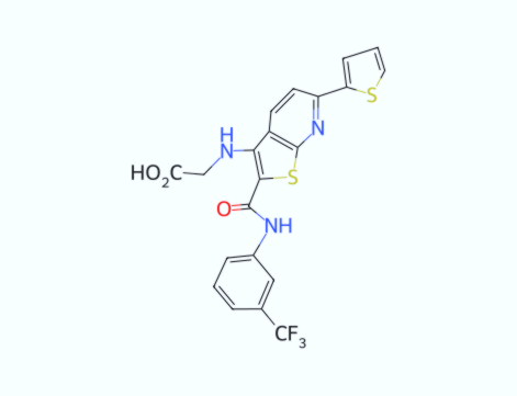 O=C(O)CNc1c(C(=O)Nc2cccc(C(F)(F)F)c2)sc2nc(-c3cccs3)ccc12